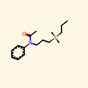 CCCS(C)(C)CCCN(C(C)=O)c1ccccc1